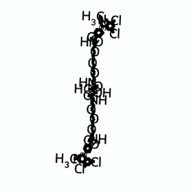 CN1Cc2c(Cl)cc(Cl)cc2[C@@H](c2ccc(S(=O)(=O)NCCOCCOCCOCCNC(=O)C(O)C(O)C(=O)NCCOCCOCCOCCNS(=O)(=O)c3ccc([C@H]4CN(C)Cc5c(Cl)cc(Cl)cc54)cc3)cc2)C1